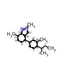 CCC(C)c1ccc(-c2ccc(C)c3nn(C)cc23)cc1C